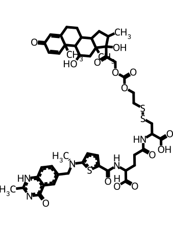 Cc1nc(=O)c2cc(CN(C)c3ccc(C(=O)NC(CCC(=O)NC(CSSCCOC(=O)OCC(=O)C4(O)C(C)CC5C6CCC7=CC(=O)C=CC7(C)C6C(O)CC54C)C(=O)O)C(=O)O)s3)ccc2[nH]1